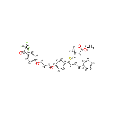 COC(=O)CC1(CSC(CCCc2ccccc2)c2ccc(OCCCOc3ccc(C(=O)C(F)(F)F)cc3)cc2)CC1